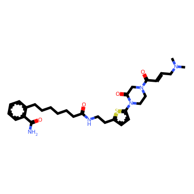 CN(C)CC=CC(=O)N1CCN(c2ccc(CCNC(=O)CCCCCCc3ccccc3C(N)=O)s2)C(=O)C1